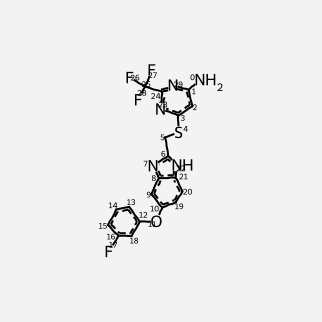 Nc1cc(SCc2nc3cc(Oc4cccc(F)c4)ccc3[nH]2)nc(C(F)(F)F)n1